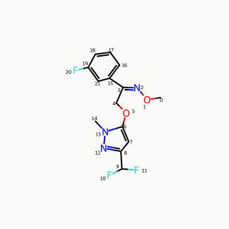 CON=C(COc1cc(C(F)F)nn1C)c1cccc(F)c1